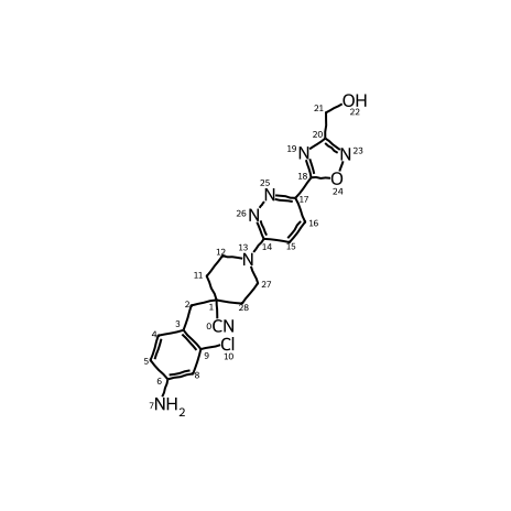 N#CC1(Cc2ccc(N)cc2Cl)CCN(c2ccc(-c3nc(CO)no3)nn2)CC1